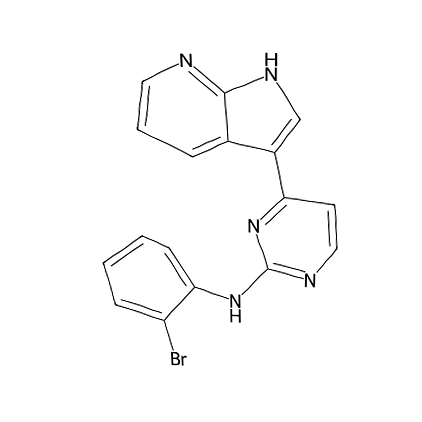 Brc1ccccc1Nc1nccc(-c2c[nH]c3ncccc23)n1